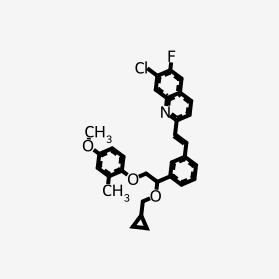 COc1ccc(OCC(OCC2CC2)c2cccc(/C=C/c3ccc4cc(F)c(Cl)cc4n3)c2)c(C)c1